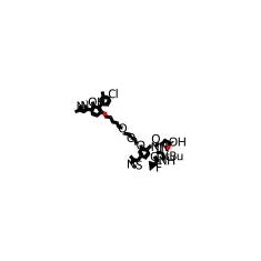 Cc1cc(-c2ccc(CCCCCCOCCOCCOc3cc(-c4scnc4C)ccc3CNC(=O)[C@@H]3C[C@@H](O)CN3C(C)[C@@H](NC(=O)C3(F)CC3)C(C)(C)C)c(-c3ccc(Cl)c(C)c3)c2O)n(C)n1